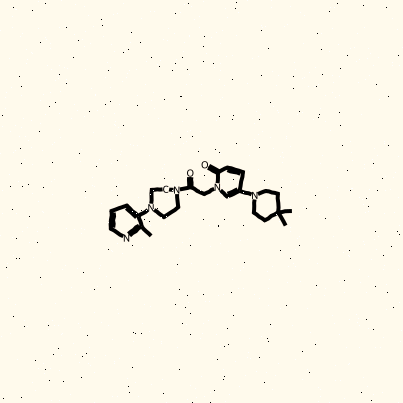 Cc1ncccc1N1CCN(C(=O)Cn2cc(N3CCC(C)(C)CC3)ccc2=O)CC1